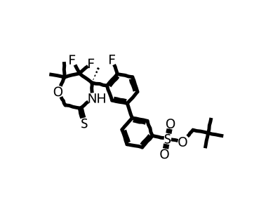 CC(C)(C)COS(=O)(=O)c1cccc(-c2ccc(F)c([C@@]3(C)NC(=S)COC(C)(C)C3(F)F)c2)c1